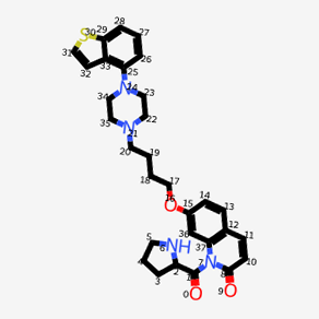 O=C(C1CCCN1)n1c(=O)ccc2ccc(OCCCCN3CCN(c4cccc5sccc45)CC3)cc21